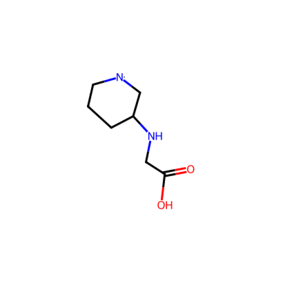 O=C(O)CNC1CCC[N]C1